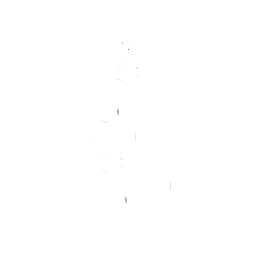 Cc1cccc(Oc2ccc(C(C)(C)c3ccc(Oc4cccc(N)c4)cc3)cc2)c1